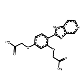 O=C(O)COc1ccc(-c2nc3cnccc3[nH]2)c(OCC(=O)O)c1